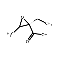 CC[C@@]1(C(=O)O)OC1C